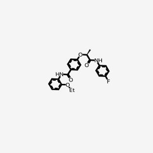 CCOc1ccccc1NC(=O)c1ccc(O[C@@H](C)C(=O)Nc2ccc(F)cc2)cc1